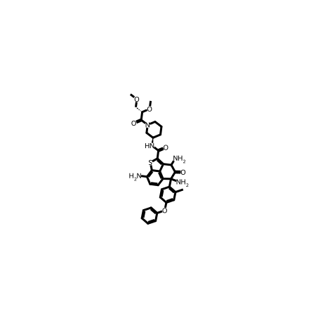 COC[C@H](OC)C(=O)N1CCC[C@@H](NC(=O)c2sc3c(N)ccc4c3c2C(N)C(=O)C4(N)c2ccc(Oc3ccccc3)cc2C)C1